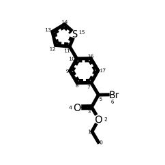 CCOC(=O)C(Br)c1ccc(-c2cccs2)cc1